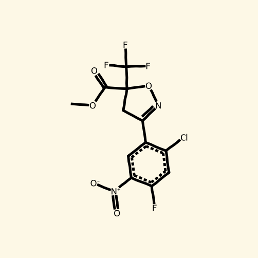 COC(=O)C1(C(F)(F)F)CC(c2cc([N+](=O)[O-])c(F)cc2Cl)=NO1